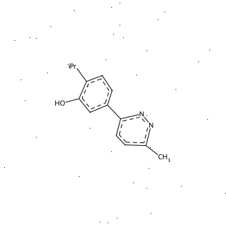 Cc1ccc(-c2ccc(C(C)C)c(O)c2)nn1